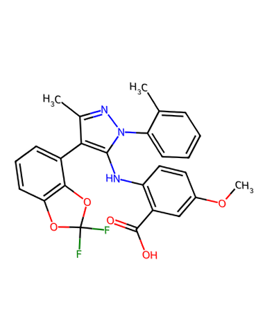 COc1ccc(Nc2c(-c3cccc4c3OC(F)(F)O4)c(C)nn2-c2ccccc2C)c(C(=O)O)c1